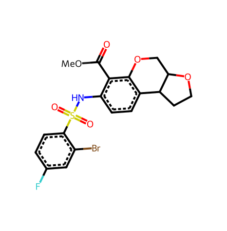 COC(=O)c1c(NS(=O)(=O)c2ccc(F)cc2Br)ccc2c1OCC1OCCC21